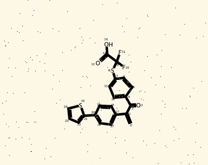 C=C(C(=O)c1ccc(SC(F)(F)C(=O)O)cc1)c1ccc(-c2cccs2)cc1